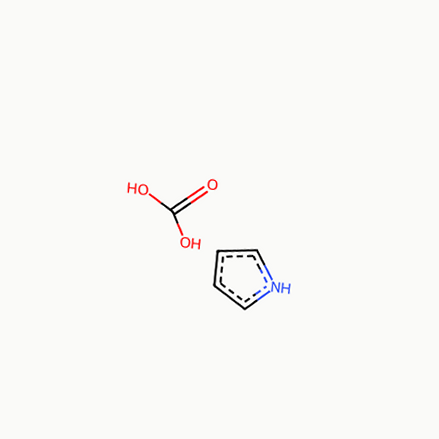 O=C(O)O.c1cc[nH]c1